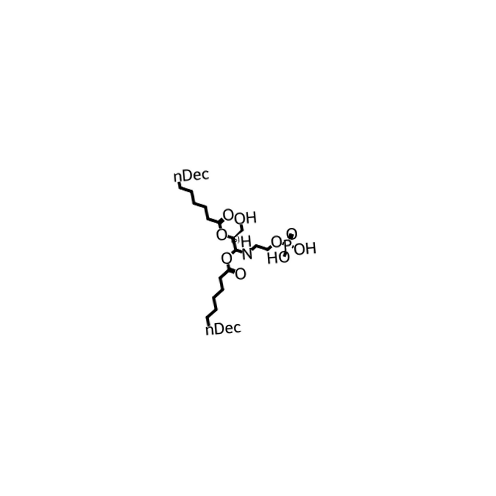 CCCCCCCCCCCCCCCC(=O)OC(NCCOP(=O)(O)O)[C@H](CO)OC(=O)CCCCCCCCCCCCCCC